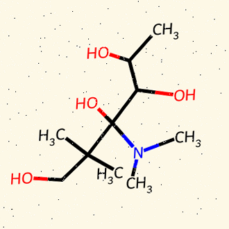 CC(O)C(O)C(O)(N(C)C)C(C)(C)CO